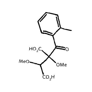 COC(C(=O)O)C(OC)(C(=O)O)C(=O)c1ccccc1C